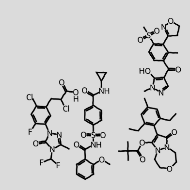 CCc1cc(C)cc(CC)c1-c1c(OC(=O)C(C)(C)C)n2n(c1=O)CCOCC2.COc1ccccc1C(=O)NS(=O)(=O)c1ccc(C(=O)NC2CC2)cc1.Cc1c(C(=O)c2cnn(C)c2O)ccc(S(C)(=O)=O)c1C1=NOCC1.Cc1nn(-c2cc(CC(Cl)C(=O)O)c(Cl)cc2F)c(=O)n1C(F)F